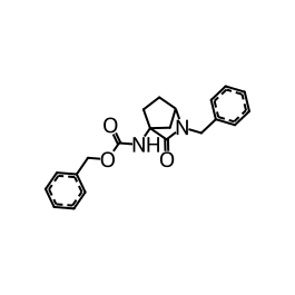 O=C(NC12CCC(C1)N(Cc1ccccc1)C2=O)OCc1ccccc1